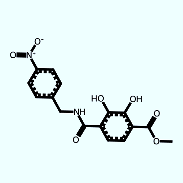 COC(=O)c1ccc(C(=O)NCc2ccc([N+](=O)[O-])cc2)c(O)c1O